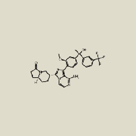 COc1cc(C(C)(O)c2cccc(C(F)(F)F)c2)ccc1-c1nc([C@@H]2CC[C@H]3CCC(=O)N3C2)n2ccnc(N)c12